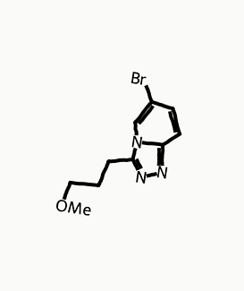 COCCCc1nnc2ccc(Br)cn12